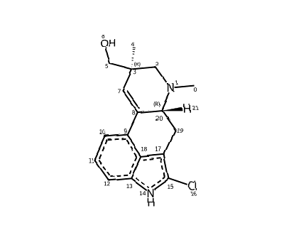 CN1C[C@](C)(CO)C=C2c3cccc4[nH]c(Cl)c(c34)C[C@H]21